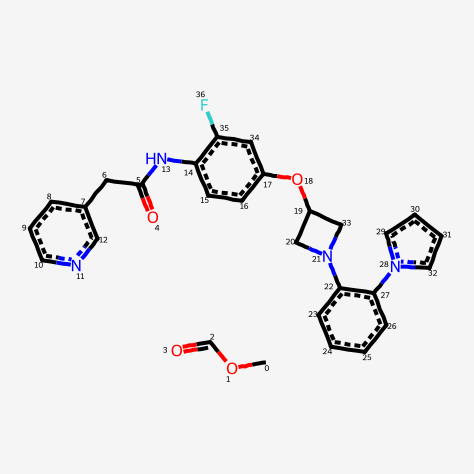 COC=O.O=C(Cc1cccnc1)Nc1ccc(OC2CN(c3ccccc3-n3cccc3)C2)cc1F